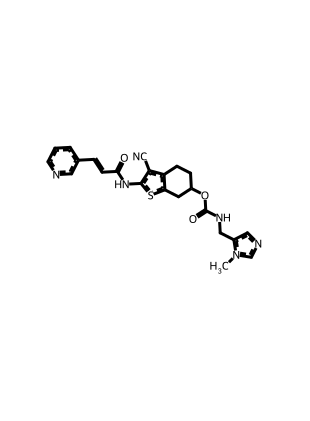 Cn1cncc1CNC(=O)OC1CCc2c(sc(NC(=O)C=Cc3cccnc3)c2C#N)C1